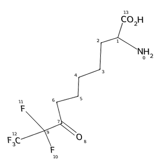 NC(CCCCCC(=O)C(F)(F)C(F)(F)F)C(=O)O